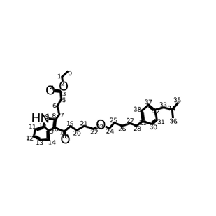 CCOC(=O)CCCc1[nH]c2ccccc2c1C(=O)CCCCOCCCCCc1ccc(CC(C)C)cc1